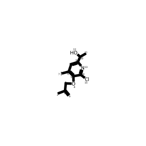 C=C(C)COc1c(I)cc(C(C)O)nc1Cl